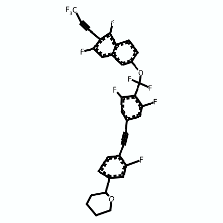 Fc1cc(C2CCCCO2)ccc1C#Cc1cc(F)c(C(F)(F)Oc2ccc3c(F)c(C#CC(F)(F)F)c(F)cc3c2)c(F)c1